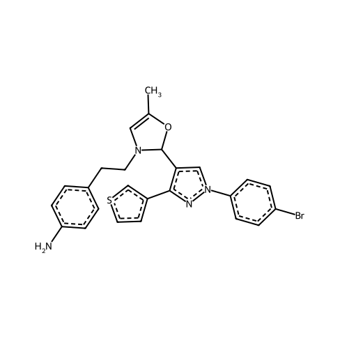 CC1=CN(CCc2ccc(N)cc2)C(c2cn(-c3ccc(Br)cc3)nc2-c2ccsc2)O1